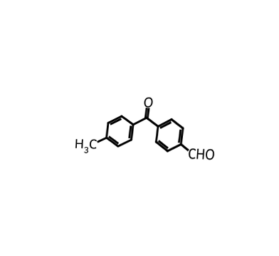 Cc1ccc(C(=O)c2ccc(C=O)cc2)cc1